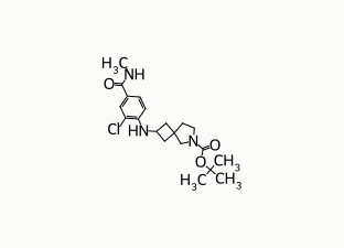 CNC(=O)c1ccc(NC2CC3(CCN(C(=O)OC(C)(C)C)C3)C2)c(Cl)c1